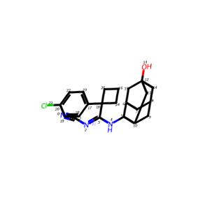 N#C/N=C(/NC1C2CC3CC1CC(O)(C3)C2)C1(c2ccc(Cl)cc2)CCC1